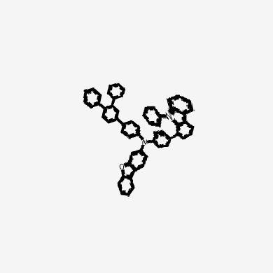 c1ccc(-c2ccc(-c3ccc(N(c4ccc(-c5cccc6c7ccccc7n(-c7ccccc7)c56)cc4)c4ccc5c(c4)oc4ccccc45)cc3)cc2-c2ccccc2)cc1